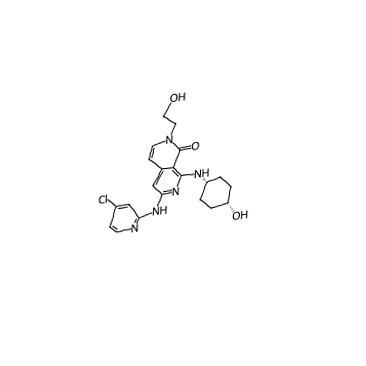 O=c1c2c(N[C@H]3CC[C@@H](O)CC3)nc(Nc3cc(Cl)ccn3)cc2ccn1CCO